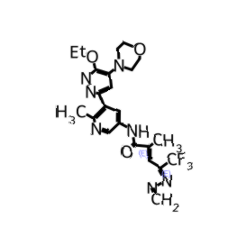 C=N/N=C(\C=C(/C)C(=O)Nc1cnc(C)c(-c2cc(N3CCOCC3)c(OCC)nn2)c1)C(F)(F)F